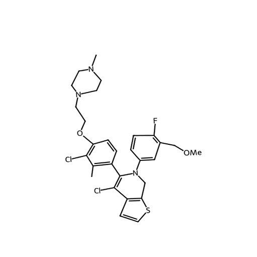 COCc1cc(N2Cc3sccc3C(Cl)=C2c2ccc(OCCN3CCN(C)CC3)c(Cl)c2C)ccc1F